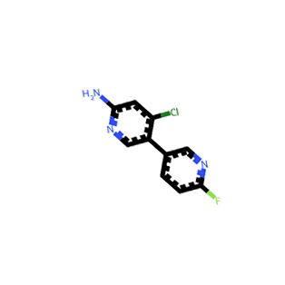 Nc1cc(Cl)c(-c2ccc(F)nc2)cn1